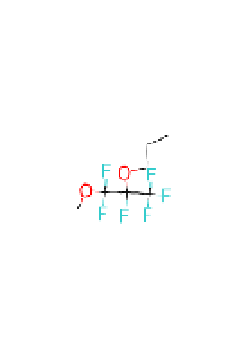 CCCOC(F)(C(F)(F)F)C(F)(F)OC